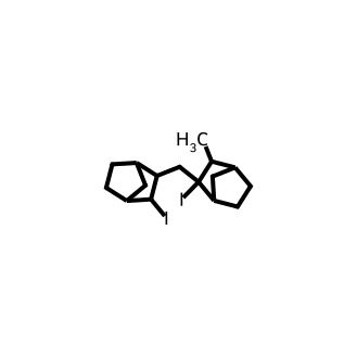 CC1C2CCC(C2)C1(I)CC1C2CCC(C2)C1I